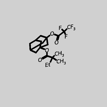 CCC(C)(C)C(=O)OC12CC3CC(C1)CC(OC(=O)C(F)(F)C(F)(F)F)(C3)C2